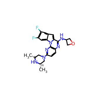 C[C@@H]1CN(c2ccc3nc(NC4COC4)c4cc5cc(F)c(F)cc5n4c3n2)C[C@H](C)N1